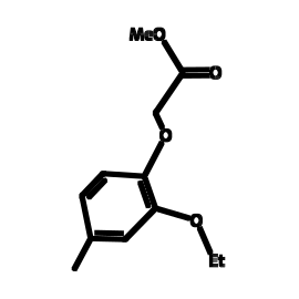 CCOc1cc(C)ccc1OCC(=O)OC